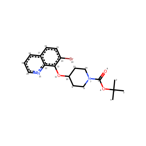 CC(C)(C)OC(=O)N1CCC(Oc2c(Br)ccc3cccnc23)CC1